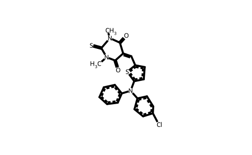 CN1C(=O)C(=Cc2ccc(N(c3ccccc3)c3ccc(Cl)cc3)s2)C(=O)N(C)C1=S